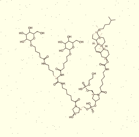 CC(C)CCC[C@@H](C)[C@H]1CCC2[C@@H]3CC=C4C[C@H](OC(=O)NCCCCCC(=O)N5CC(OP(=O)(O)OC[C@@H]6C[C@@H](O)CN6C(=O)CCCCCNC(=O)[C@H](CCCCNC(=O)CCCCOC6OC(CO)C(O)C(O)C6O)NC(=O)CCCCOC6OC(CO)C(O)C(O)C6O)C[C@H]5COP(=O)(S)OCCO)CC[C@]4(C)[C@@H]3CC[C@@]21C